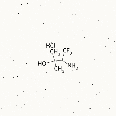 CC(C)(O)C(N)C(F)(F)F.Cl